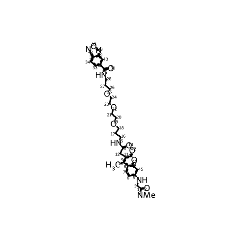 CNC(=O)CNc1ccc2c(C)c(CC(=O)NCCCOCCOCCOCCCNC(=O)c3ccc4nonc4c3)c(=O)oc2c1